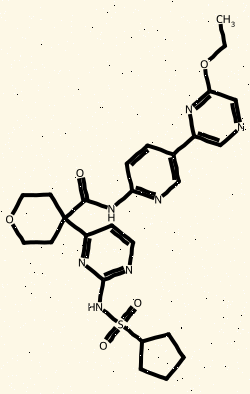 CCOc1cncc(-c2ccc(NC(=O)C3(c4ccnc(NS(=O)(=O)C5CCCC5)n4)CCOCC3)nc2)n1